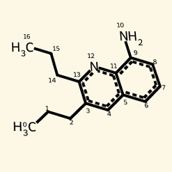 CCCc1cc2cccc(N)c2nc1CCC